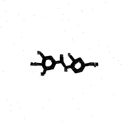 CC(=O)Oc1c(Br)cc(C(=O)Nc2ccc(C(=O)O)cc2F)cc1Br